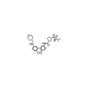 CC(C)S(=O)(=O)N[C@@H]1CC[C@H](C(=O)Nc2cc(-c3cc(NCC4CCOCC4)ccc3Cl)c(Cl)cn2)C1